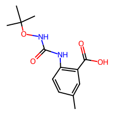 Cc1ccc(NC(=O)NOC(C)(C)C)c(C(=O)O)c1